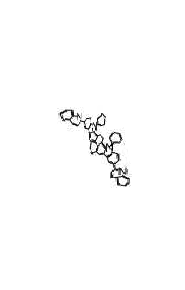 C1=C(c2ccc3ccccc3n2)CCc2c1c1cc3c4c(c1n2-c1ccccc1)CCc1c-4c(cc2c4cc(-c5ccc6ccccc6n5)ccc4n(-c4ccccc4)c12)CC3